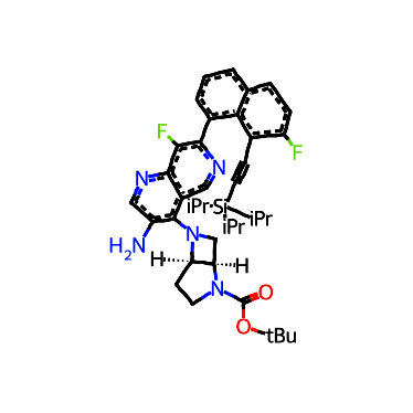 CC(C)[Si](C#Cc1c(F)ccc2cccc(-c3ncc4c(N5C[C@@H]6[C@H]5CCN6C(=O)OC(C)(C)C)c(N)cnc4c3F)c12)(C(C)C)C(C)C